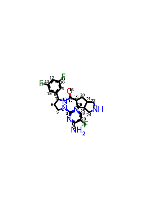 Nc1nc(N2CCC(c3cc(F)cc(F)c3)N2C(=O)C2CC3CNCC3C2)ncc1F